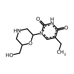 CCc1cn(C2CNCC(CO)O2)c(=O)[nH]c1=O